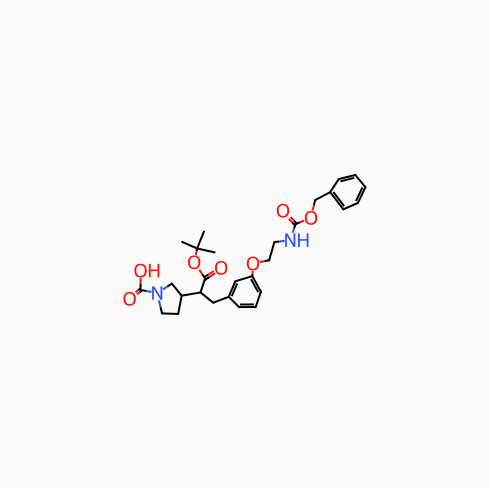 CC(C)(C)OC(=O)C(Cc1cccc(OCCNC(=O)OCc2ccccc2)c1)C1CCN(C(=O)O)C1